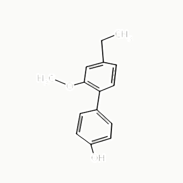 CCc1ccc(-c2ccc(O)cc2)c(OC)c1